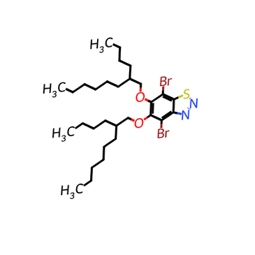 CCCCCCC(CCCC)COc1c(OCC(CCCC)CCCCCC)c(Br)c2snnc2c1Br